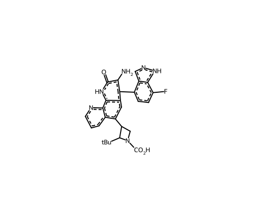 CC(C)(C)C1C(c2cc3c(-c4ccc(F)c5[nH]ncc45)c(N)c(=O)[nH]c3c3ncccc23)CN1C(=O)O